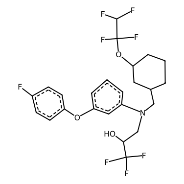 OC(CN(CC1CCCC(OC(F)(F)C(F)F)C1)c1cccc(Oc2ccc(F)cc2)c1)C(F)(F)F